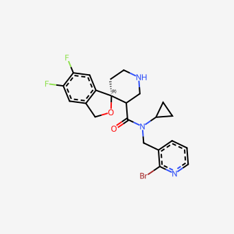 O=C(C1CNCC[C@@]12OCc1cc(F)c(F)cc12)N(Cc1cccnc1Br)C1CC1